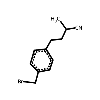 CC(C#N)CCc1ccc(CBr)cc1